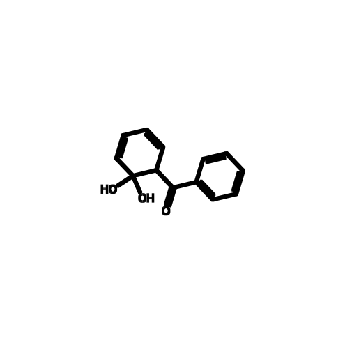 O=C(c1ccccc1)C1C=CC=CC1(O)O